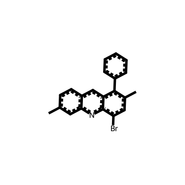 Cc1ccc2cc3c(-c4ccccc4)c(C)cc(Br)c3nc2c1